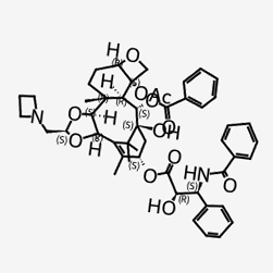 CC(=O)O[C@@]12CO[C@@H]1CC[C@@]1(C)[C@@H]3O[C@H](CN4CCC4)O[C@@H]3C3=C(C)[C@@H](OC(=O)[C@H](O)[C@@H](NC(=O)c4ccccc4)c4ccccc4)C[C@@](O)([C@@H](OC(=O)c4ccccc4)[C@@H]12)C3(C)C